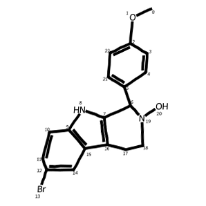 COc1ccc(C2c3[nH]c4ccc(Br)cc4c3CCN2O)cc1